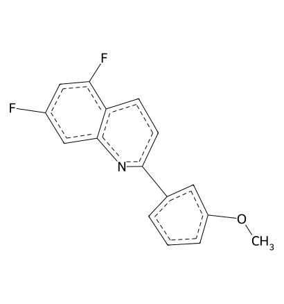 COc1cccc(-c2ccc3c(F)cc(F)cc3n2)c1